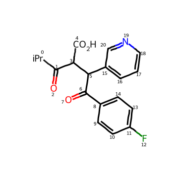 CC(C)C(=O)C(C(=O)O)C(C(=O)c1ccc(F)cc1)c1cccnc1